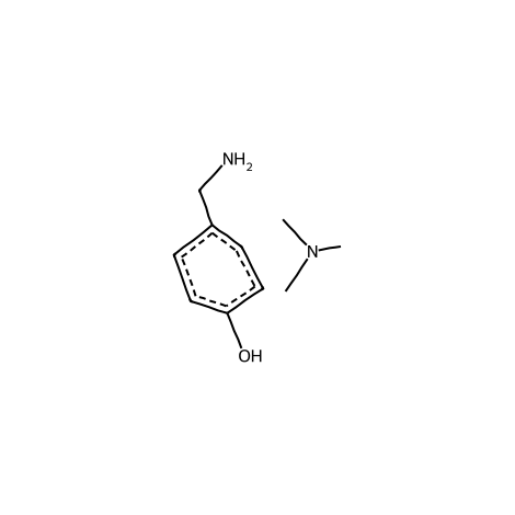 CN(C)C.NCc1ccc(O)cc1